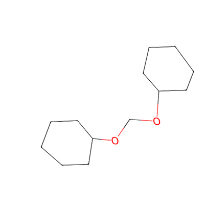 C1CCC(OCOC2CCCCC2)CC1